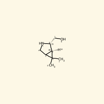 CC1(C)C2CN[C@H](CO)[C@H]21